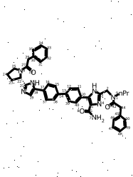 CCCN(Cc1nc(C(N)=O)c(-c2ccc(-c3ccc(-c4cnc([C@@H]5CCCN5C(=O)Cc5ccccc5)[nH]4)cc3)cc2)[nH]1)C(=O)Cc1ccccc1